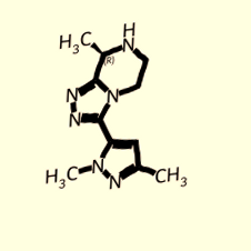 Cc1cc(-c2nnc3n2CCN[C@@H]3C)n(C)n1